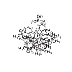 CC(C)(C)c1cccc(-c2c3c(c(-c4cccc(C(C)(C)C)c4C(C)(C)C)c(-c4cccc(C(C)(C)C)c4C(C)(C)C)c2-c2cccc(C(C)(C)C)c2C(C)(C)C)-c2ccccc2-3)c1C(C)(C)C.OP(O)O